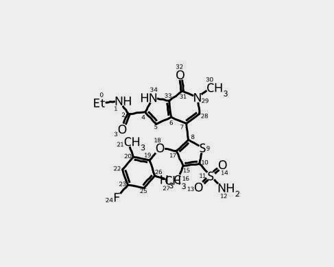 CCNC(=O)c1cc2c(-c3sc(S(N)(=O)=O)c(C)c3Oc3c(C)cc(F)cc3C)cn(C)c(=O)c2[nH]1